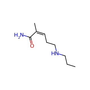 CCCNCCC=C(C)C(N)=O